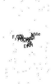 CCNc1cc2c(cn1)c(N1CCC[C@H](NC)C1)nn2[C@H]1CC[C@@H](Oc2nccc(C(F)(F)F)c2F)CC1